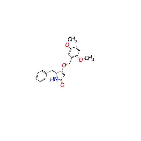 COc1ccc(OC)c(COC2=CC(=O)N[C@H]2Cc2ccccc2)c1